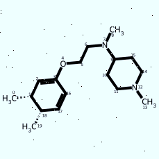 C[C@@H]1C=C(OCCN(C)C2CCN(C)CC2)C=C[C@@H]1C